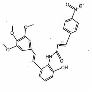 COc1cc(C=Cc2cccc(O)c2NC(=O)/C=C/c2ccc([N+](=O)[O-])cc2)cc(OC)c1OC